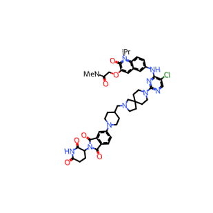 CNC(=O)COc1cc2cc(Nc3nc(N4CCC5(CCN(CC6CCN(c7ccc8c(c7)C(=O)N(C7CCC(=O)NC7=O)C8=O)CC6)C5)CC4)ncc3Cl)ccc2n(C(C)C)c1=O